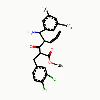 C=C=CC(C(=O)C(Cc1ccc(Cl)c(Cl)c1)C(=O)OC(C)(C)C)C(N)c1cc(C(F)(F)F)cc(C(F)(F)F)c1